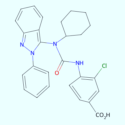 O=C(O)c1ccc(NC(=O)N(c2c3ccccc3nn2-c2ccccc2)C2CCCCC2)c(Cl)c1